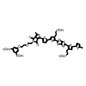 CCCCCCCCCCCCc1cc(-c2ccc(C)s2)sc1-c1nc2sc(-c3sc(-c4ccc(-c5sc(C)c6c5C(=O)N(CCOCCOc5cc(CCCCCCCCCC)cc(CCCCCCCCCC)c5)C6=O)s4)cc3CCCCCCCCCCCC)nc2s1